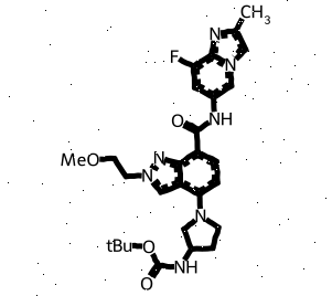 COCCn1cc2c(N3CCC(NC(=O)OC(C)(C)C)C3)ccc(C(=O)Nc3cc(F)c4nc(C)cn4c3)c2n1